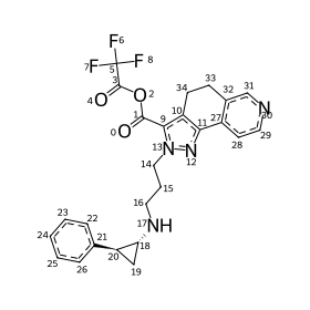 O=C(OC(=O)C(F)(F)F)c1c2c(nn1CCCN[C@@H]1C[C@H]1c1ccccc1)-c1ccncc1CC2